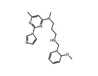 COC1C=CC=CN1CNCCCN(C)c1cc(C)nc(-n2ccnc2)n1